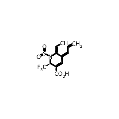 C=C/C=C1/C=C(C(=O)O)[C@@H](C(F)(F)F)N([SH](=O)=O)/C1=C/C